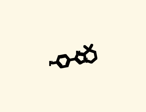 CC1(C)CCCn2cc(-c3ccc(F)cc3)nc21